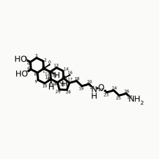 C[C@]12CCC(O)C(O)C1CC[C@@H]1[C@H]2CC[C@]2(C)C(CCCNOCCCCN)CC[C@@H]12